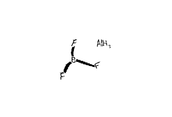 FB(F)F.[AlH3]